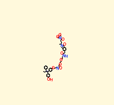 CC/C(=C(\c1ccc(O)cc1)c1ccc(OCCN(C)C(=O)COCCOCCNC(=O)Cc2ccc3c(c2)CN(C(C)CCC(=O)N(C=O)COC)C3=O)cc1)c1ccccc1